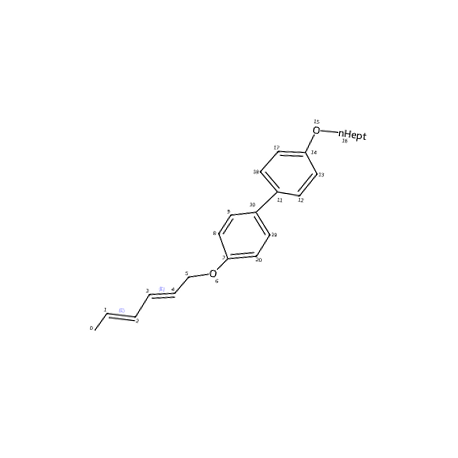 C/C=C/C=C/COc1ccc(-c2ccc(OCCCCCCC)cc2)cc1